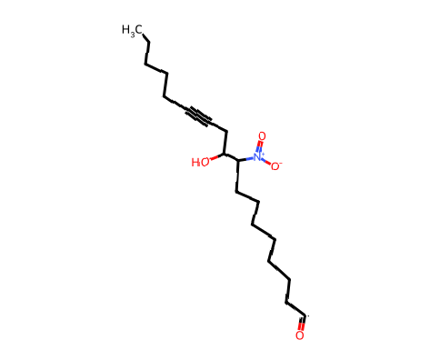 CCCCCC#CCC(O)C(CCCCCCC[C]=O)[N+](=O)[O-]